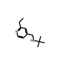 CCc1cc(CNC(C)(C)C)ccn1